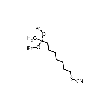 CC(C)O[Si](C)(CCCCCCCSC#N)OC(C)C